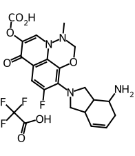 CN1COc2c(N3CC4C=CCC(N)C4C3)c(F)cc3c(=O)c(OC(=O)O)cn1c23.O=C(O)C(F)(F)F